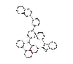 c1ccc(-c2ccccc2N(c2ccc(-c3cccc(-c4ccc5ccccc5c4)c3)cc2)c2cccc(-c3oc4ccccc4c3-c3ccccc3)c2)cc1